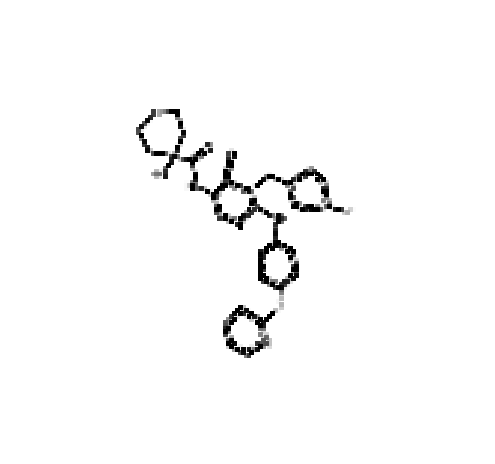 O=C(Nc1nnc(Nc2ccc(Oc3ccccn3)cc2)n(Cc2ccc(Cl)cc2)c1=O)C1(O)CCOCC1